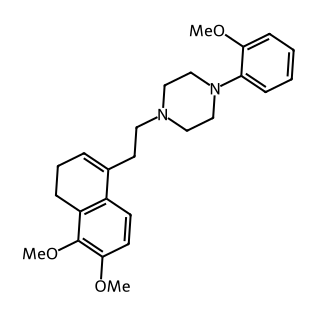 COc1ccccc1N1CCN(CCC2=CCCc3c2ccc(OC)c3OC)CC1